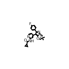 C[Si]1(C)COc2c(-c3ccnc(NC(=O)C4CC4)c3)c(-c3ccc(F)cc3)nn2C1